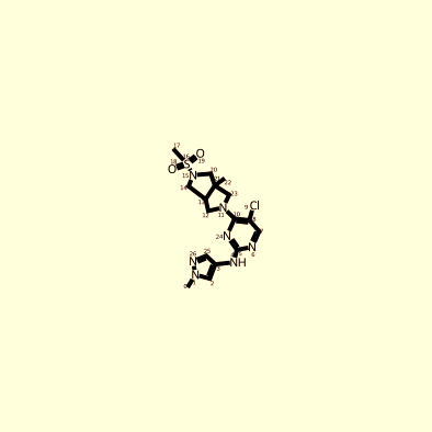 Cn1cc(Nc2ncc(Cl)c(N3CC4CN(S(C)(=O)=O)CC4(C)C3)n2)cn1